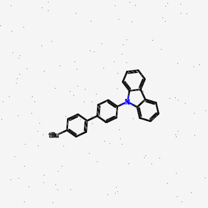 CC(C)(C)c1ccc(-c2ccc(-n3c4ccccc4c4ccccc43)cc2)cc1